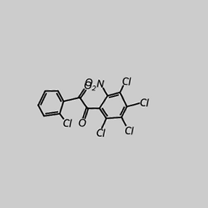 O=C(C(=O)c1c(Cl)c(Cl)c(Cl)c(Cl)c1[N+](=O)[O-])c1ccccc1Cl